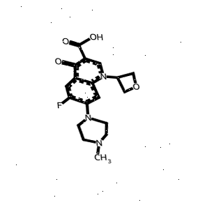 CN1CCN(c2cc3c(cc2F)c(=O)c(C(=O)O)cn3C2COC2)CC1